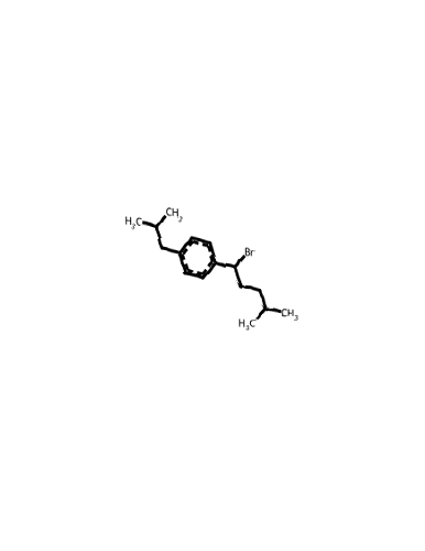 CC(C)CCC(Br)c1ccc(CC(C)C)cc1